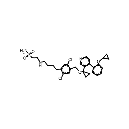 NS(=O)(=O)CCNCCCCc1cc(Cl)c(COC2(c3cnccc3-c3ccccc3OC3CC3)CC2)cc1Cl